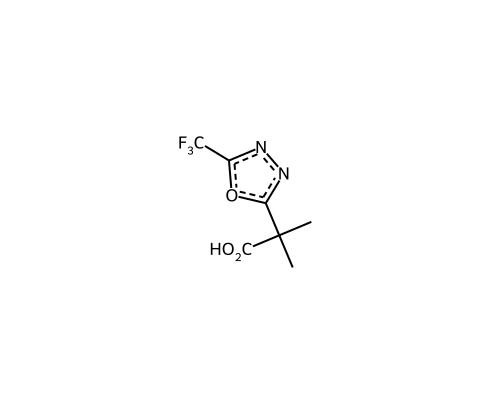 CC(C)(C(=O)O)c1nnc(C(F)(F)F)o1